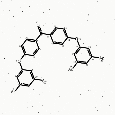 CC(=O)c1cc(Oc2ccc(C(=O)c3ccc(Oc4cc(C(C)=O)cc(C(C)=O)c4)cc3)cc2)cc(C(C)=O)c1